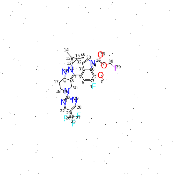 COc1c(F)cc(-c2c3c(nn2C2=C(C)[C@H]2C)CCN(c2ncc(C(F)(F)F)cn2)C3)c2ccn(C(=O)OCI)c12